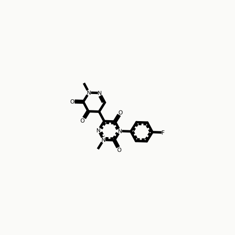 CN1N=CC(c2nn(C)c(=O)n(-c3ccc(F)cc3)c2=O)C(=O)C1=O